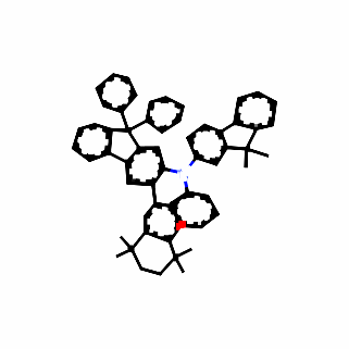 Cc1cc2c(cc1-c1cc3c(cc1N(c1ccccc1)c1ccc4c(c1)C(C)(C)c1ccccc1-4)C(c1ccccc1)(c1ccccc1)c1ccccc1-3)C(C)(C)CCC2(C)C